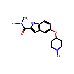 CCCN(C)C(=O)c1cc2cc(OC3CCN(C(C)C)CC3)ccc2[nH]1